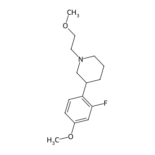 COCCN1CCCC(c2ccc(OC)cc2F)C1